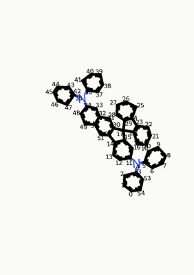 c1ccc(N(c2ccccc2)c2ccc3c(c2)C2(c4ccccc4-c4ccccc42)c2cc4cc(N(c5ccccc5)c5ccccc5)ccc4cc2-3)cc1